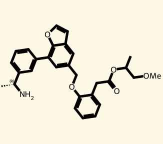 COCC(C)OC(=O)Cc1ccccc1OCc1cc(-c2cccc([C@@H](C)N)c2)c2occc2c1